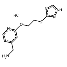 Cl.NCc1ccnc(OCCSc2nc[nH]n2)c1